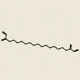 C=CC(=C)CCCCCCCCCCCCCCCC(=C)C=C